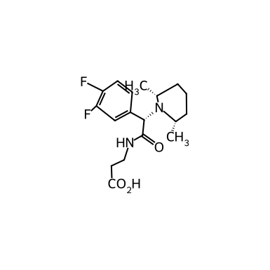 C[C@@H]1CCC[C@H](C)N1[C@H](C(=O)NCCC(=O)O)c1ccc(F)c(F)c1